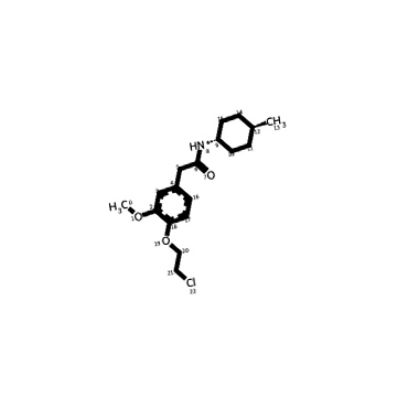 COc1cc(CC(=O)N[C@H]2CC[C@H](C)CC2)ccc1OCCCl